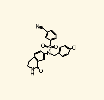 N#Cc1cccc(S(=O)(=O)N(Cc2ccc(Cl)cc2)c2ccc3c(c2)C(=O)NCC3)c1